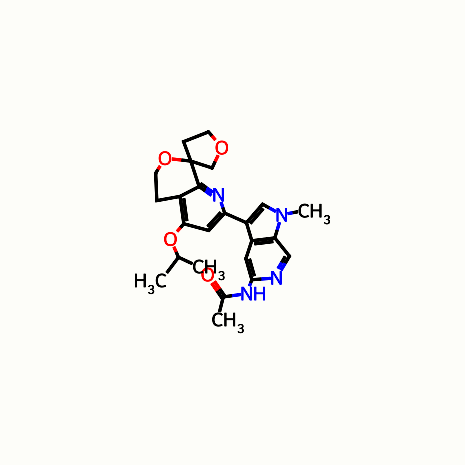 CC(=O)Nc1cc2c(-c3cc(OC(C)C)c4c(n3)C3(CCOC3)OCC4)cn(C)c2cn1